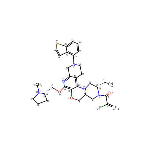 C=C(F)C(=O)N1CC2COc3c(OC[C@@H]4CCCN4C)nc4c(c3N2C[C@@H]1CC#N)CCN(c1cccc2sccc12)C4